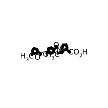 Cc1cccc2c1OC[C@H]2COc1ccc(C(=O)n2c(C)cc3c(CC(=O)O)cccc32)cc1